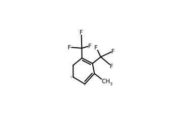 CC1=[C][C]CC(C(F)(F)F)=C1C(F)(F)F